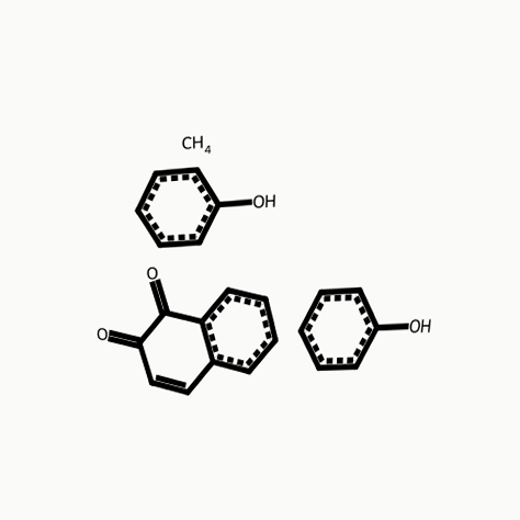 C.O=C1C=Cc2ccccc2C1=O.Oc1ccccc1.Oc1ccccc1